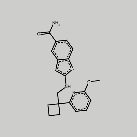 COc1cccc(C2(CNc3nc4ccc(C(N)=O)cc4s3)CCC2)n1